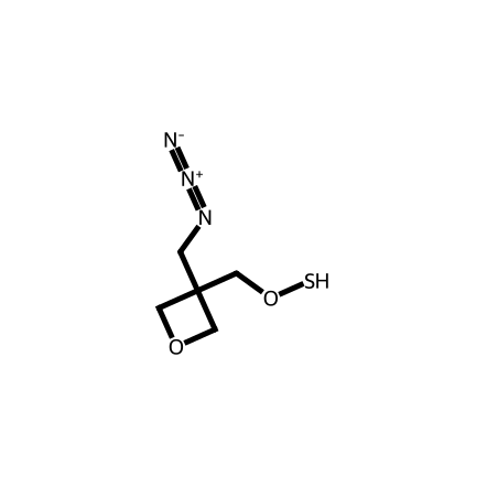 [N-]=[N+]=NCC1(COS)COC1